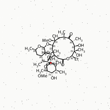 CC[C@H]1OC(=O)[C@H](C)[C@@H](O[C@H]2C[C@@](C)(OC)[C@@H](O)[C@H](C)O2)[C@H](C)[C@@H](O[C@@H]2O[C@H](C)C[C@@H](N(C)S(C)(=O)=O)[C@@H]2N(C)C)[C@@](C)(OC)C[C@@H](C)C(=O)[C@H](C)[C@@H](O)[C@]1(C)O